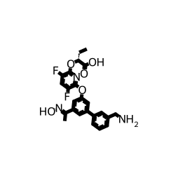 CC[C@@H](Oc1nc(Oc2cc(C(C)=NO)cc(-c3cccc(CN)c3)c2)c(F)cc1F)C(=O)O